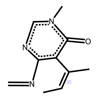 C=Nc1ncn(C)c(=O)c1/C(C)=C\C